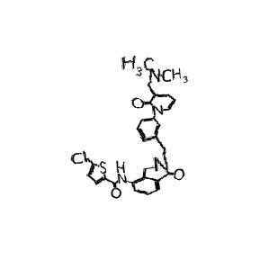 CN(C)Cc1cccn(-c2cccc(CN3Cc4c(NC(=O)c5ccc(Cl)s5)cccc4C3=O)c2)c1=O